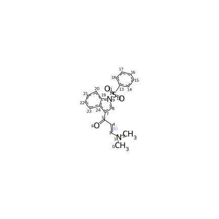 CN(C)/C=C/C(=O)c1cn(S(=O)(=O)c2ccccc2)c2ccccc12